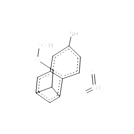 Nc1ccc2c3cc(cc2c1)C3COS(=O)(=O)O.O=[SH2]=O